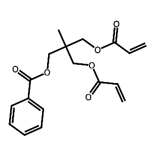 C=CC(=O)OCC(C)(COC(=O)C=C)COC(=O)c1ccccc1